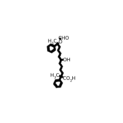 CC(CCCCC(O)CCCCC(C)(C(=O)O)c1ccccc1)(OC=O)c1ccccc1